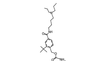 CCCN(CCC)CCCCNC(=O)c1ccc(COC(N)=O)c(C(C)(C)C)c1